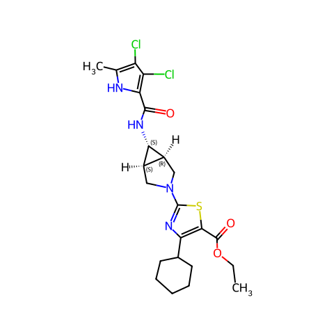 CCOC(=O)c1sc(N2C[C@@H]3[C@H](C2)[C@H]3NC(=O)c2[nH]c(C)c(Cl)c2Cl)nc1C1CCCCC1